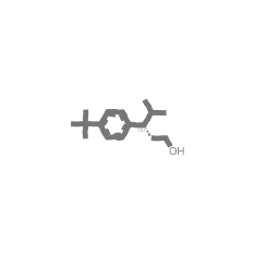 CC(C)[C@H](CCO)c1ccc(C(C)(C)C)cc1